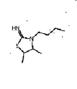 CCCCN1C(=N)SC(C)C1C